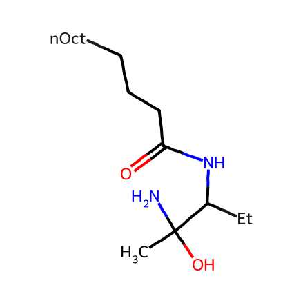 CCCCCCCCCCCC(=O)NC(CC)C(C)(N)O